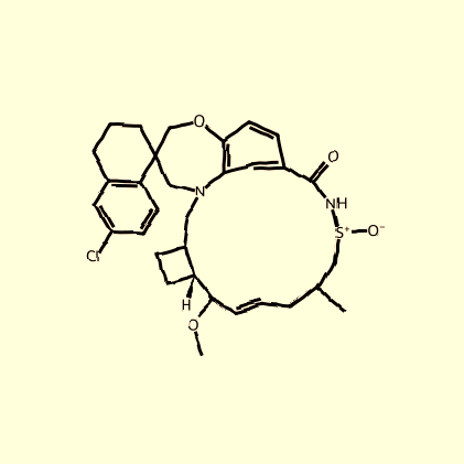 COC1/C=C/CC(C)C[S+]([O-])NC(=O)c2ccc3c(c2)N(CC2CC[C@H]21)CC1(CCCc2cc(Cl)ccc21)CO3